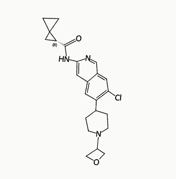 O=C(Nc1cc2cc(C3CCN(C4COC4)CC3)c(Cl)cc2cn1)[C@@H]1CC12CC2